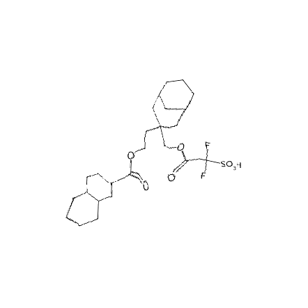 O=C(OCCC1(COC(=O)C(F)(F)S(=O)(=O)O)CC2CCCC(C2)C1)C1CCC2CCCCC2C1